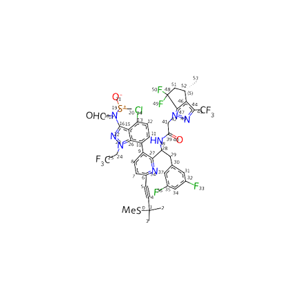 CSC(C)(C)C#Cc1ccc(-c2ccc(Cl)c3c(N(C=O)[S+](C)[O-])nn(CC(F)(F)F)c23)c(C(Cc2cc(F)cc(F)c2)NC(=O)Cn2nc(C(F)(F)F)c3c2C(F)(F)C[C@@H]3C)n1